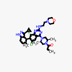 C=CC(=O)N1C[C@H](C)N(c2nc(NCCN3CCOCC3)nc3c(F)c(-c4c(C)ccc5[nH]nc(C6CC6)c45)c(Cl)cc23)C[C@H]1C